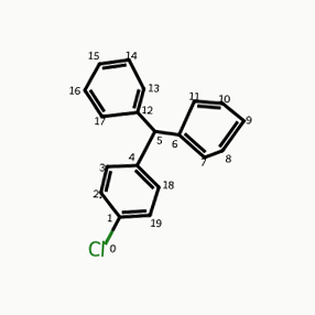 Clc1[c]cc(C(c2ccccc2)c2ccccc2)cc1